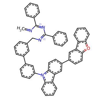 C=N/C(=N\C(=N/Cc1cccc(-c2cccc(-n3c4ccccc4c4cc(-c5ccc6oc7ccccc7c6c5)ccc43)c2)c1)c1ccccc1)c1ccccc1